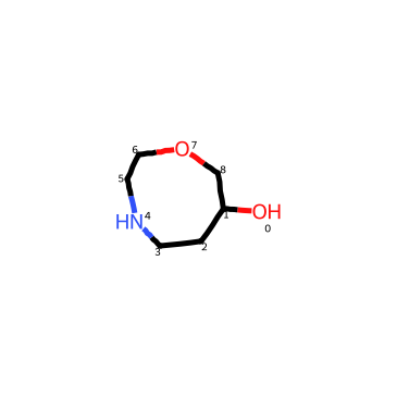 OC1CCNCCOC1